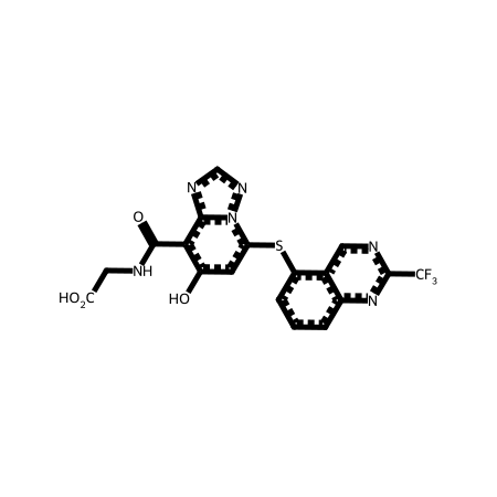 O=C(O)CNC(=O)c1c(O)cc(Sc2cccc3nc(C(F)(F)F)ncc23)n2ncnc12